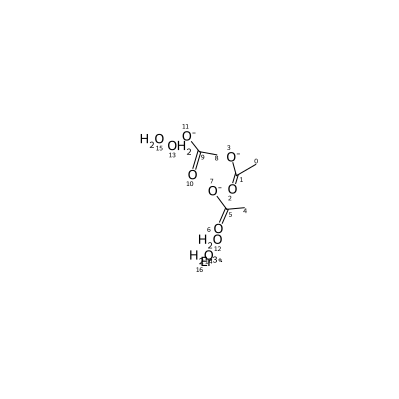 CC(=O)[O-].CC(=O)[O-].CC(=O)[O-].O.O.O.O.[Er+3]